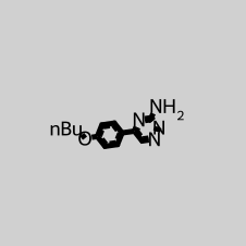 CCCCOc1ccc(-c2cnnc(N)n2)cc1